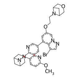 COc1ccc(CN2C3CC2CN(c2ccc(-c4cc(OCCN5C6COCC5C6)cn5ncc(Br)c45)cn2)C3)cn1